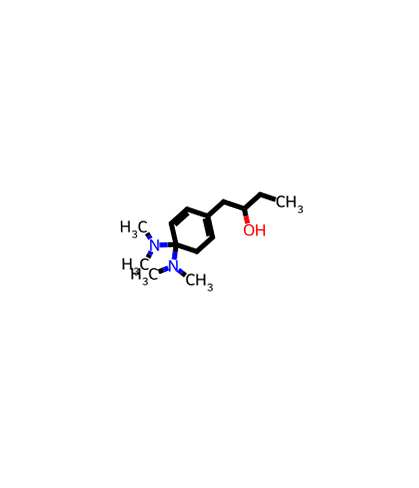 CCC(O)CC1=CCC(N(C)C)(N(C)C)C=C1